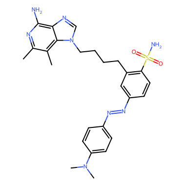 Cc1nc(N)c2ncn(CCCCc3cc(N=Nc4ccc(N(C)C)cc4)ccc3S(N)(=O)=O)c2c1C